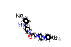 CC(C)(C)c1ccc(N2CCN(CCC(=O)N3CCC(Nc4cccc(C#N)c4)CC3)CC2)cc1